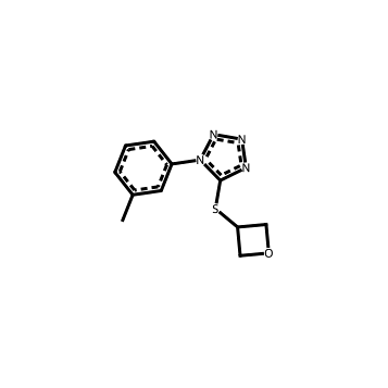 Cc1cccc(-n2nnnc2SC2COC2)c1